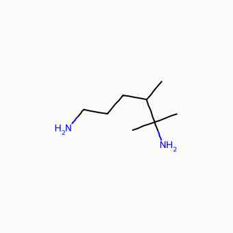 CC(CCCN)C(C)(C)N